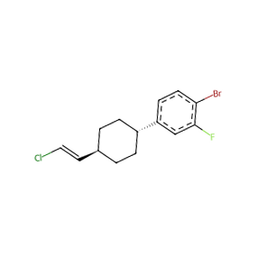 Fc1cc([C@H]2CC[C@H](/C=C/Cl)CC2)ccc1Br